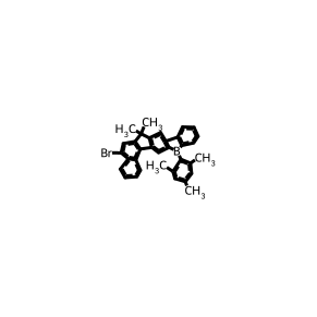 Cc1cc(C)c(B2c3ccccc3-c3cc4c(cc32)-c2c(cc(Br)c3ccccc23)C4(C)C)c(C)c1